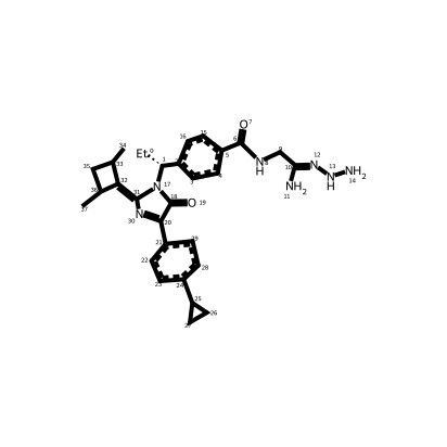 CC[C@H](c1ccc(C(=O)NC/C(N)=N/NN)cc1)N1C(=O)C(c2ccc(C3CC3)cc2)=NC1=C1C(C)CC1C